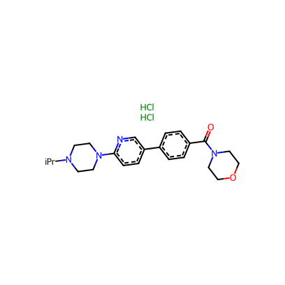 CC(C)N1CCN(c2ccc(-c3ccc(C(=O)N4CCOCC4)cc3)cn2)CC1.Cl.Cl